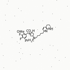 COc1c([C@H](C(=O)O)N2CC[C@@H](N(C)CCCCCc3ccc4c(n3)NCCC4)C2)cc(C(C)C)c(F)c1F